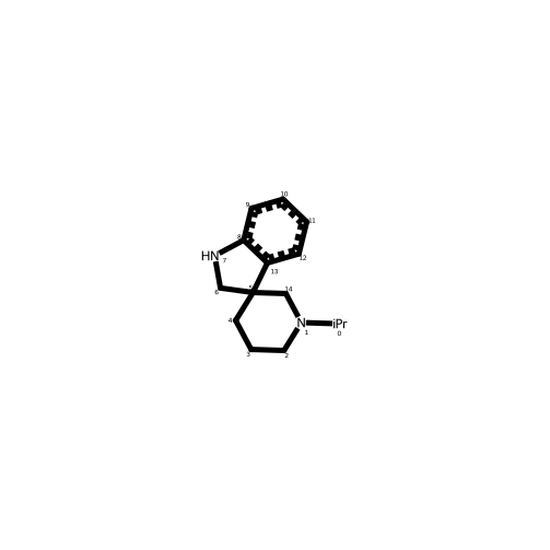 CC(C)N1CCCC2(CNc3ccccc32)C1